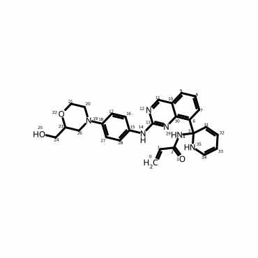 C=CC(=O)NC1(c2cccc3cnc(Nc4ccc(N5CCOC(CO)C5)cc4)nc23)C=CC=CN1